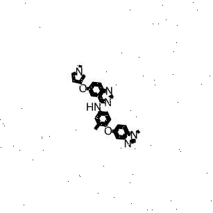 Cc1cc(Nc2ncnc3ccc(O[C@H]4CCN(C)C4)cc23)ccc1Oc1ccc2c(c1)ncn2C